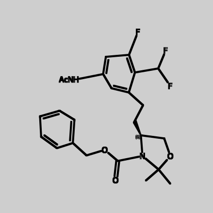 CC(=O)Nc1cc(F)c(C(F)F)c(CC[C@H]2COC(C)(C)N2C(=O)OCc2ccccc2)c1